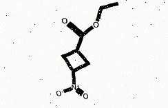 CCOC(=O)C1CC([N+](=O)[O-])C1